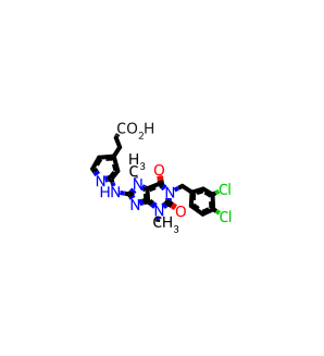 Cn1c(Nc2cc(CCC(=O)O)ccn2)nc2c1c(=O)n(Cc1ccc(Cl)c(Cl)c1)c(=O)n2C